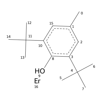 Cc1cc(C(C)(C)C)c(O)c(C(C)(C)C)c1.[Er]